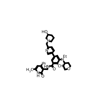 CCN(c1cc(-c2ccc(CN3CCC[C@H](O)C3)nc2)cc(C(=O)NCc2c(C(C)C)cc(C)[nH]c2=O)c1C)C1CCOCC1